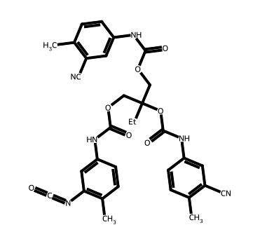 CCC(COC(=O)Nc1ccc(C)c(C#N)c1)(COC(=O)Nc1ccc(C)c(N=C=O)c1)OC(=O)Nc1ccc(C)c(C#N)c1